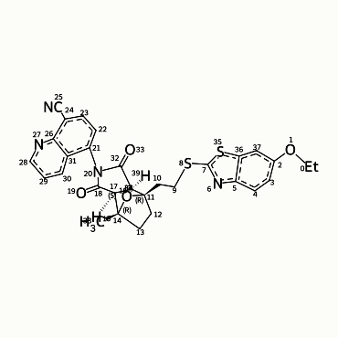 CCOc1ccc2nc(SCC[C@@]34CC[C@@](C)(O3)[C@H]3C(=O)N(c5ccc(C#N)c6ncccc56)C(=O)[C@H]34)sc2c1